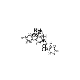 Cc1ccc(-c2ccc(NC(=O)CC3=C(Cl)CCC=C3)cc2S(N)(=O)=O)cc1